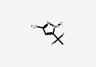 [CH2-][NH+]1N=C(C(F)(F)F)C=C1C(C)(F)F